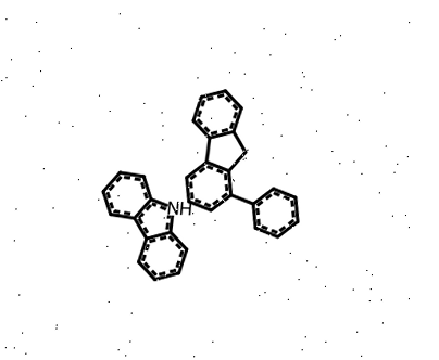 c1ccc(-c2cccc3c2Cc2ccccc2-3)cc1.c1ccc2c(c1)[nH]c1ccccc12